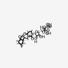 O=c1ccn([C@@H]2O[C@H](COP(=O)(O)OP(=O)(O)O)[C@H](O)C2O)c(=O)n1Cc1noc2ccc(F)cc12